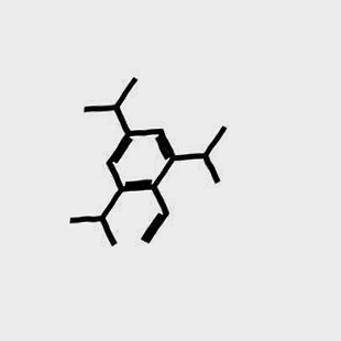 C=Cc1c(C(C)C)cc(C(C)C)cc1C(C)C